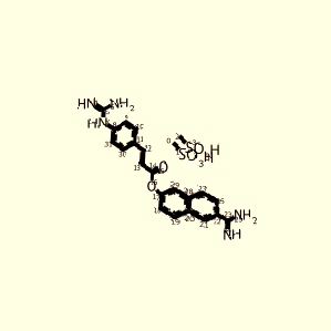 CS(=O)(=O)O.CS(=O)(=O)O.N=C(N)Nc1ccc(C=CC(=O)Oc2ccc3cc(C(=N)N)ccc3c2)cc1